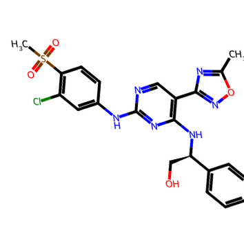 Cc1nc(-c2cnc(Nc3ccc(S(C)(=O)=O)c(Cl)c3)nc2N[C@H](CO)c2ccccc2)no1